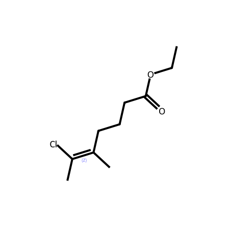 CCOC(=O)CCC/C(C)=C(/C)Cl